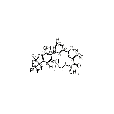 CCCN(C)C(=O)c1cc(/C(C=N)=C/Nc2c(O)cc(C(F)(C(F)(F)F)C(F)(F)F)cc2Cl)cnc1Cl